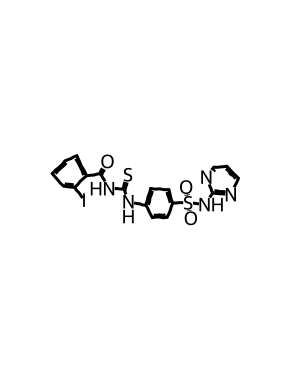 O=C(NC(=S)Nc1ccc(S(=O)(=O)Nc2ncccn2)cc1)c1ccccc1I